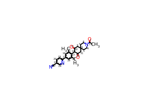 CC(=O)N1CCC2(CC1)CC(=O)C(c1c(C)cc(-c3ccc(C#N)cn3)cc1C)C(=O)C2